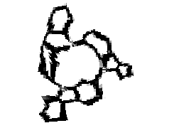 C1=CCC2C(=C1)C1=C3CC(C=C1)N1C4=CC=CC4C4=C1CC(C=C4)n1c4c(c5ccc(cc51)N32)=CCCC=4